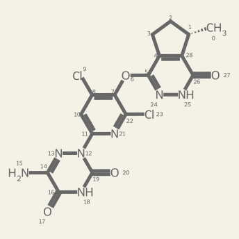 C[C@H]1CCc2c(Oc3c(Cl)cc(-n4nc(N)c(=O)[nH]c4=O)nc3Cl)n[nH]c(=O)c21